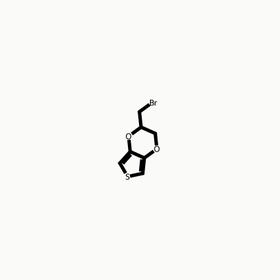 BrCC1COc2cscc2O1